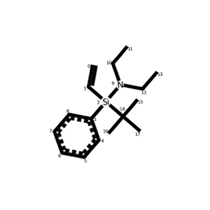 C=C[Si](c1ccccc1)(N(CC)CC)C(C)(C)C